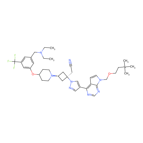 CCN(CC)Cc1cc(OC2CCN([C@H]3C[C@@](CC#N)(n4cc(-c5ncnc6c5ccn6COCC[Si](C)(C)C)cn4)C3)CC2)cc(C(F)(F)F)c1